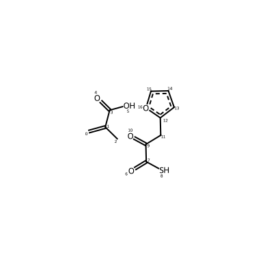 C=C(C)C(=O)O.O=C(S)C(=O)Cc1ccco1